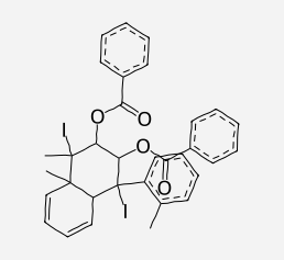 Cc1ccccc1C1(I)C(OC(=O)c2ccccc2)C(OC(=O)c2ccccc2)C(C)(I)C2(C)C=CC=CC12